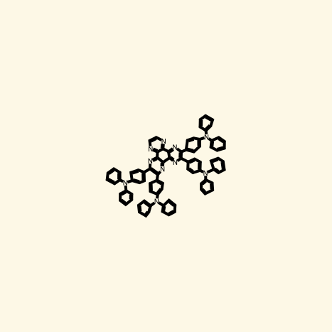 c1ccc(N(c2ccccc2)c2ccc(-c3nc4c5nccnc5c5nc(-c6ccc(N(c7ccccc7)c7ccccc7)cc6)c(-c6ccc(N(c7ccccc7)c7ccccc7)cc6)nc5c4nc3-c3ccc(N(c4ccccc4)c4ccccc4)cc3)cc2)cc1